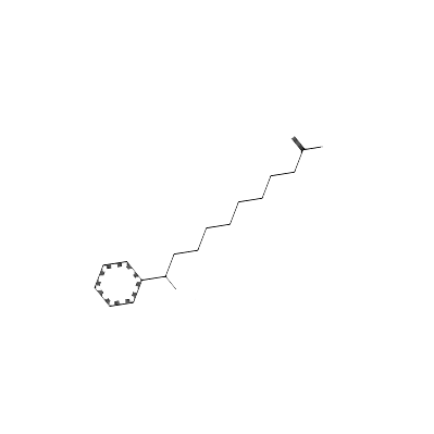 CC(CCCCCCCCC(=O)O)c1ccccc1